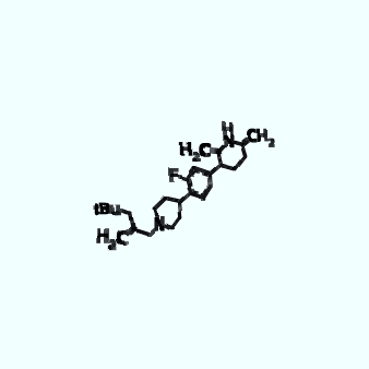 C=C(CN1CCC(c2ccc(C3CCC(=C)NC3=C)cc2F)CC1)CC(C)(C)C